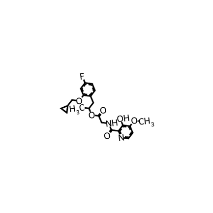 COc1ccnc(C(=O)NCC(=O)OC(C)Cc2ccc(F)cc2OCC2CC2)c1O